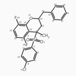 CC1(S(=O)(=O)c2ccc(Cl)cc2)CC(Cc2ccccc2)Oc2c(F)ccc(F)c21